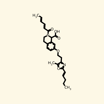 CC=CC=CC(=O)N1CCc2ccc(OCCc3nc(C=CCCC)oc3C)cc2C1C(=O)O